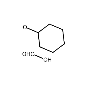 O=[C]O.[O]C1CCCCC1